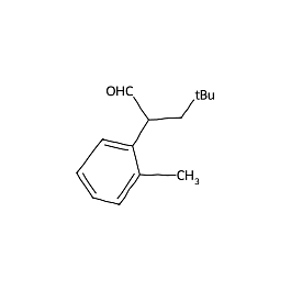 Cc1ccccc1C(C=O)CC(C)(C)C